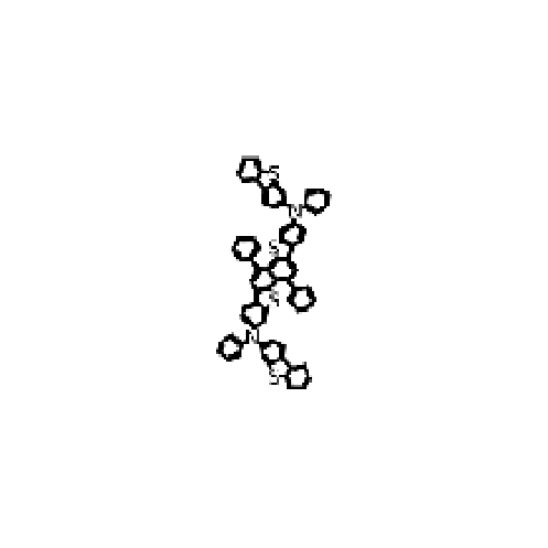 c1ccc(-c2cc3c4ccc(N(c5ccccc5)c5ccc6c(c5)sc5ccccc56)cc4sc3c3c(-c4ccccc4)cc4c5ccc(N(c6ccccc6)c6ccc7c(c6)sc6ccccc67)cc5sc4c23)cc1